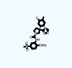 COc1ccc(S(C)(=O)=O)cc1NC(=O)N1CC[C@](c2ccc(C)c(F)c2)(c2ncns2)C1